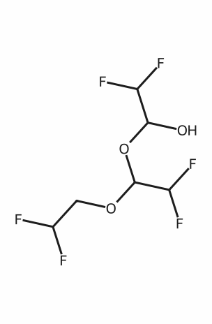 OC(OC(OCC(F)F)C(F)F)C(F)F